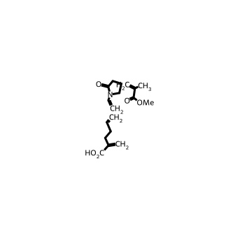 C=C(C)C(=O)OC.C=CCCC(=C)C(=O)O.C=CN1CCCC1=O